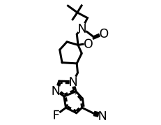 CC(C)(C)CN1CC2(CCCC(Cn3cnc4c(F)cc(C#N)cc43)C2)OC1=O